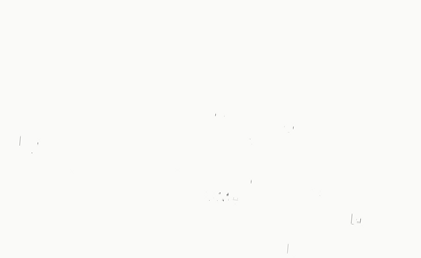 C=Cc1cc(I)c(OC(=O)OC(C)OC(C)CC)c(OC)c1